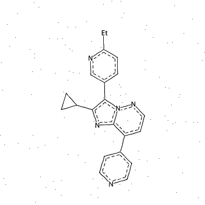 CCc1ccc(-c2c(C3CC3)nc3c(-c4ccncc4)ccnn23)cn1